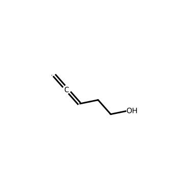 [CH]=C=CCCO